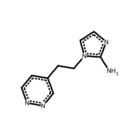 Nc1nccn1CCc1ccnnc1